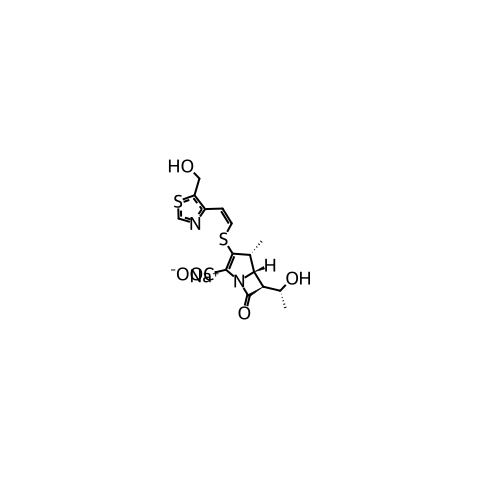 C[C@@H](O)[C@H]1C(=O)N2C(C(=O)[O-])=C(S/C=C\c3ncsc3CO)[C@H](C)[C@H]12.[Na+]